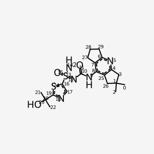 CC1(C)Cc2nc3c(c(NC(=O)N=S(N)(=O)c4cnc(C(C)(C)O)s4)c2C1)CCC3